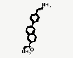 NC[CH]c1ccc(-c2ccc3cc(C(=O)CN)ccc3c2)cc1